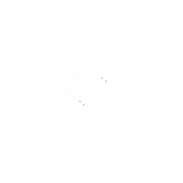 O=C(O)CC(Cc1ccccc1)C(=O)N(c1nc(-c2cc(Cl)ccc2Cl)cs1)C1CC1